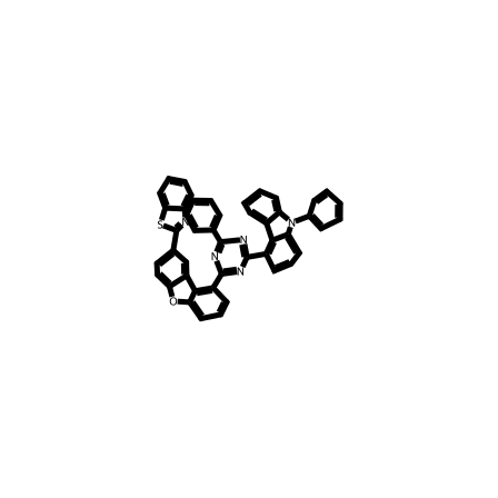 c1ccc(-c2nc(-c3cccc4oc5ccc(-c6nc7ccccc7s6)cc5c34)nc(-c3cccc4c3c3ccccc3n4-c3ccccc3)n2)cc1